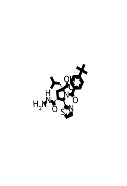 CC(C)C[C@@]1(C(=O)O)C[C@@H](C(=O)NN)[C@H](c2nccs2)N1C(=O)c1ccc(C(C)(C)C)cc1